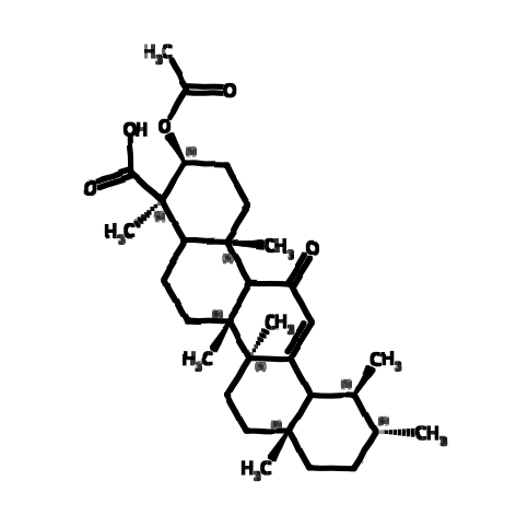 CC(=O)O[C@H]1CC[C@@]2(C)C(CC[C@]3(C)C2C(=O)C=C2C4[C@@H](C)[C@H](C)CC[C@]4(C)CC[C@]23C)[C@@]1(C)C(=O)O